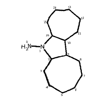 NN1C2CCCCCCC2C2CCCCCC21